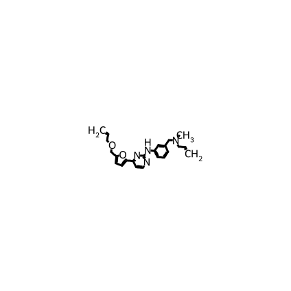 C=CCOCc1ccc(-c2ccnc(Nc3cccc(CN(C)CC=C)c3)n2)o1